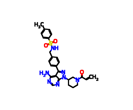 C=CC(=O)N1CCC[C@@H](n2nc(-c3ccc(CNS(=O)(=O)c4ccc(C)cc4)cc3)c3c(N)ncnc32)C1